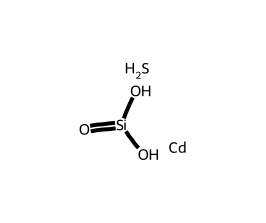 O=[Si](O)O.S.[Cd]